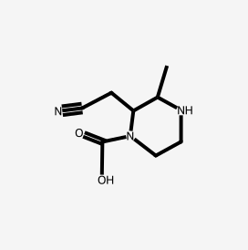 CC1NCCN(C(=O)O)C1CC#N